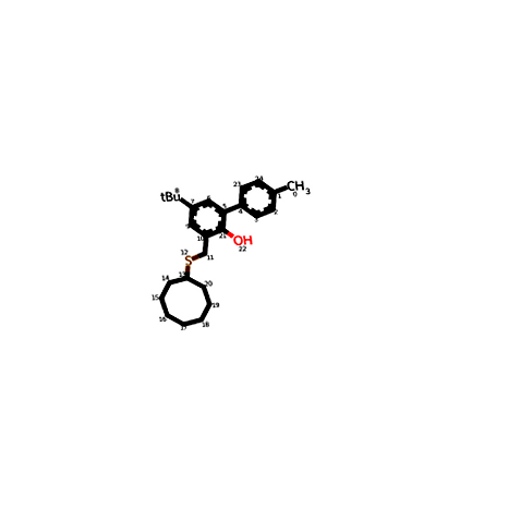 Cc1ccc(-c2cc(C(C)(C)C)cc(CSC3CCCCCCC3)c2O)cc1